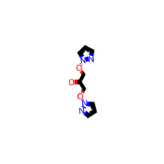 O=C(COn1cccn1)COn1cccn1